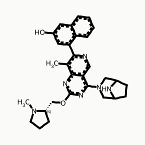 Cc1c(-c2cc(O)cc3ccccc23)ncc2c(N3CC4CCC(C3)N4)nc(OC[C@@H]3CCCN3C)nc12